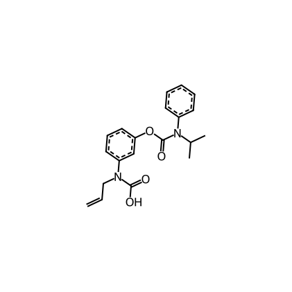 C=CCN(C(=O)O)c1cccc(OC(=O)N(c2ccccc2)C(C)C)c1